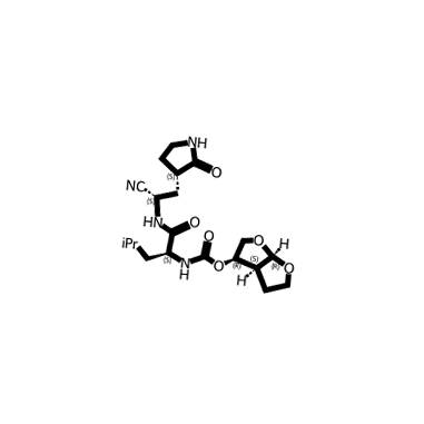 CC(C)C[C@H](NC(=O)O[C@H]1CO[C@H]2OCC[C@H]21)C(=O)N[C@H](C#N)C[C@@H]1CCNC1=O